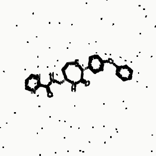 O=C(NC[C@@H]1CCS[C@H](c2ccc(Oc3ccccc3)cc2)C(=O)N1)c1ncccn1